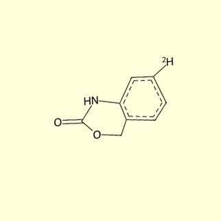 [2H]c1ccc2c(c1)NC(=O)OC2